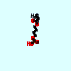 C=CC(=O)OCCCCOS(=O)O